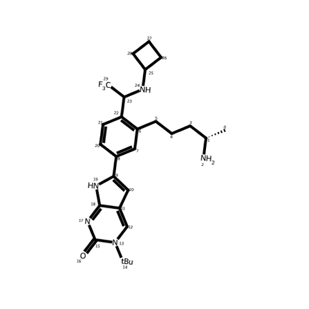 C[C@H](N)CCCc1cc(-c2cc3cn(C(C)(C)C)c(=O)nc3[nH]2)ccc1C(NC1CCC1)C(F)(F)F